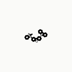 Cc1nc2ccccc2n1-c1ccc2oc3ccc(-n4c5ccccc5c5ccccc54)cc3c2c1